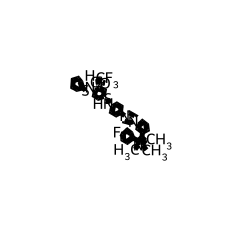 Cc1c(-c2cccc(N3CCN(c4ccc(NSC5C=C(S(=O)(=O)C(F)(F)F)C(NSc6ccccc6)CC5)cc4)CC3)c2)c(-c2ccc(F)cc2)n(C)c1C